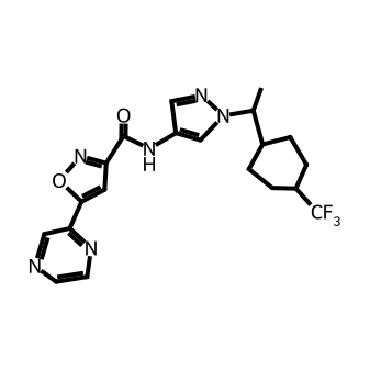 CC(C1CCC(C(F)(F)F)CC1)n1cc(NC(=O)c2cc(-c3cnccn3)on2)cn1